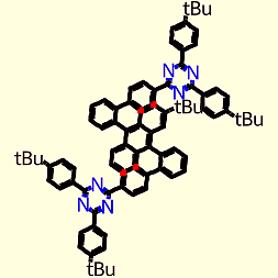 CC(C)(C)c1ccc(-c2nc(-c3ccc(-c4ccccc4-c4c5ccccc5c(-c5ccccc5-c5ccc(-c6nc(-c7ccc(C(C)(C)C)cc7)nc(-c7ccc(C(C)(C)C)cc7)n6)cc5)c5cc(C(C)(C)C)ccc45)cc3)nc(-c3ccc(C(C)(C)C)cc3)n2)cc1